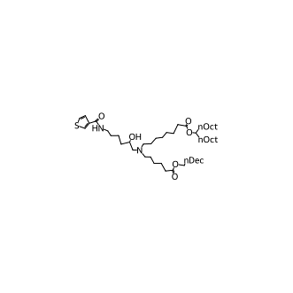 CCCCCCCCCCCOC(=O)CCCCCN(CCCCCCCC(=O)OC(CCCCCCCC)CCCCCCCC)CC(O)CCCCNC(=O)c1ccsc1